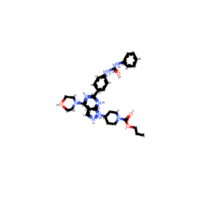 CCCOC(=O)N1CCC(n2ncc3c(N4CCOCC4)nc(-c4ccc(NC(=O)Nc5ccccc5)cc4)nc32)CC1